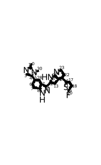 Cc1ncc(-c2ccc3[nH]nc(-c4cc5c(-c6ccc(F)s6)ccnc5[nH]4)c3c2)n1C